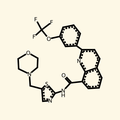 O=C(Nc1ncc(CN2CCOCC2)s1)c1cccc2ccc(-c3cccc(OC(F)(F)F)c3)nc12